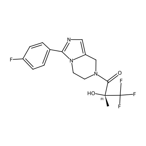 C[C@@](O)(C(=O)N1CCn2c(cnc2-c2ccc(F)cc2)C1)C(F)(F)F